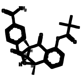 CC(C)(C)C(=O)Oc1cccc2c1C(=O)[C@@H]1C(=O)O[C@@]2(C)[C@H]1Cc1ccc(C(N)=O)cc1